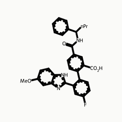 CCCC(NC(=O)c1ccc(-c2ccc(F)cc2-c2nc3cc(OC)ccc3[nH]2)c(C(=O)O)c1)c1ccccc1